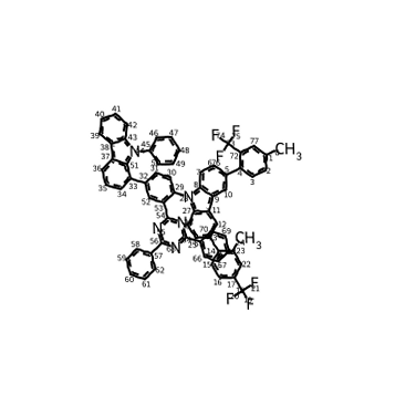 Cc1ccc(-c2ccc3c(c2)c2cc(-c4ccc(C(F)(F)F)cc4C)ccc2n3-c2ccc(-c3cccc4c5ccccc5n(-c5ccccc5)c34)cc2-c2nc(-c3ccccc3)nc(-c3ccccc3)n2)c(C(F)(F)F)c1